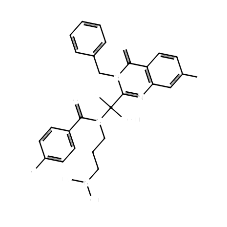 Cc1ccc(C(=O)N(CCCN(C)C)C(C(=O)O)(c2nc3cc(Cl)ccc3c(=O)n2Cc2ccccc2)C(C)C)cc1